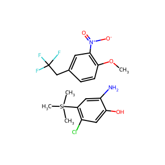 COc1ccc(CC(F)(F)F)cc1[N+](=O)[O-].C[Si](C)(C)c1cc(N)c(O)cc1Cl